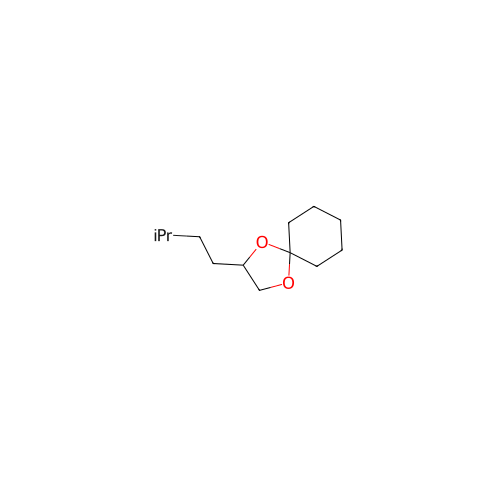 CC(C)CCC1COC2(CCCCC2)O1